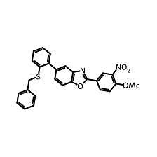 COc1ccc(-c2nc3cc(-c4ccccc4SCc4ccccc4)ccc3o2)cc1[N+](=O)[O-]